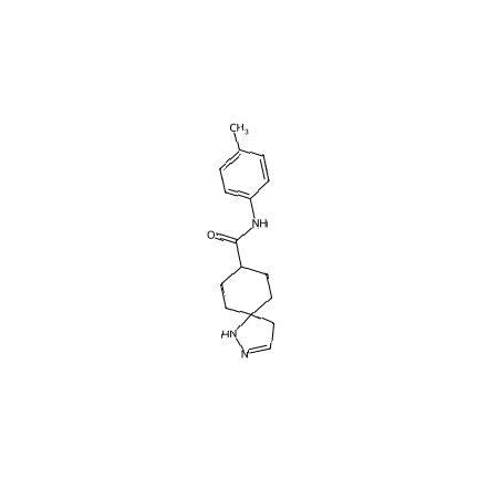 Cc1ccc(NC(=O)C2CCC3(CC=NN3)CC2)cc1